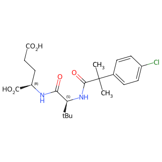 CC(C)(C(=O)N[C@H](C(=O)N[C@H](CCC(=O)O)C(=O)O)C(C)(C)C)c1ccc(Cl)cc1